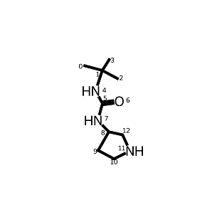 CC(C)(C)NC(=O)NC1CCNC1